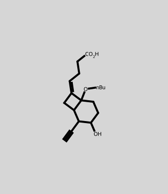 C#CC1C(O)CCC2(OCCCC)C(=CCCC(=O)O)CC12